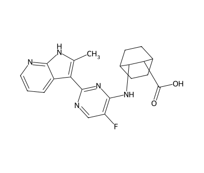 Cc1[nH]c2ncccc2c1-c1ncc(F)c(NC2C3CCC(CC3)C2C(=O)O)n1